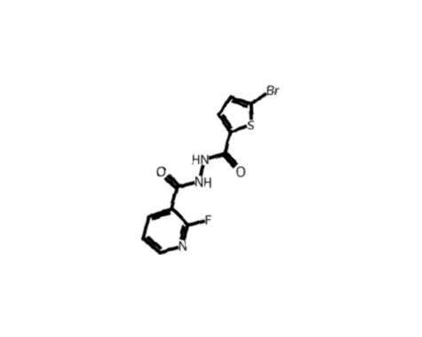 O=C(NNC(=O)c1cccnc1F)c1ccc(Br)s1